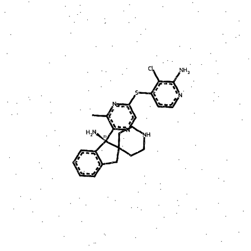 Cc1nc(Sc2ccnc(N)c2Cl)cnc1[C@@]1(N)c2ccccc2CC12CCNCC2